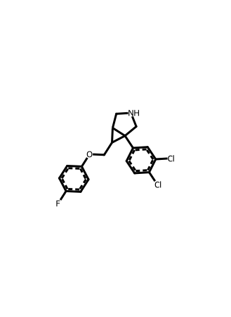 Fc1ccc(OCC2C3CNCC32c2ccc(Cl)c(Cl)c2)cc1